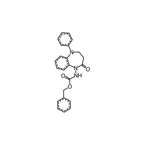 O=C(NN1C(=O)CCN(c2ccccc2)c2ccccc21)OCc1ccccc1